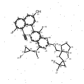 C#Cc1c(F)ccc2cc(O)cc(-c3ncc4c(N(C)[C@@H]5C[C@H]5F)nc(OC[C@@]56CCCN5C[C@@]5(CC5(F)F)C6)nc4c3F)c12